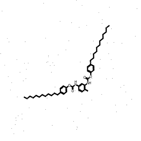 CCCCCCCCCCCCc1ccc(OC(=O)Nc2ccc(C)c(NC(=O)Oc3ccc(CCCCCCCCCCCC)cc3)c2)cc1